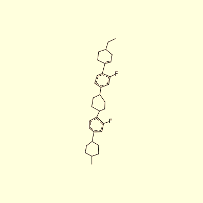 CCC1CC=C(c2ccc(C3CCC(c4ccc(C5CCC(C)CC5)cc4F)CC3)cc2F)CC1